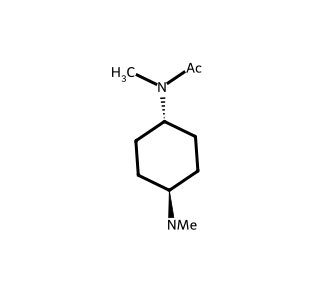 CN[C@H]1CC[C@H](N(C)C(C)=O)CC1